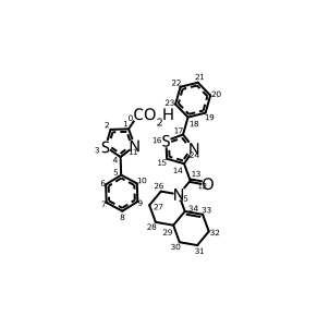 O=C(O)c1csc(-c2ccccc2)n1.O=C(c1csc(-c2ccccc2)n1)N1CCCC2CCCC=C21